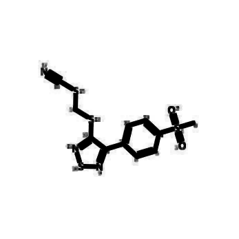 CS(=O)(=O)c1ccc(-c2nsnc2SCSC#N)cc1